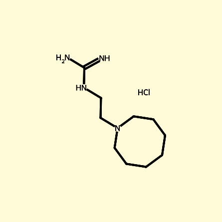 Cl.N=C(N)NCCN1CCCCCCC1